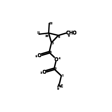 CC(=O)CC(=O)OC(=O)C1C(C=O)C1(C)C